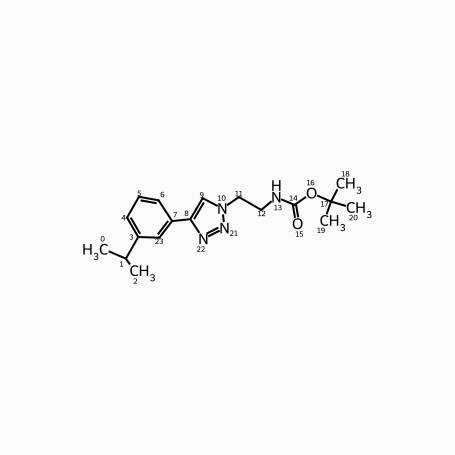 CC(C)c1cccc(-c2cn(CCNC(=O)OC(C)(C)C)nn2)c1